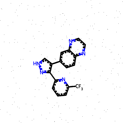 FC(F)(F)c1cccc(-c2n[nH]cc2-c2ccc3nccnc3c2)n1